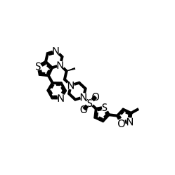 Cc1cc(-c2ccc(S(=O)(=O)N3CCN(C[C@H](C)N4CN=Cc5scc(-c6ccncc6)c54)CC3)s2)on1